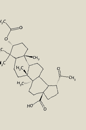 CC(=O)O[C@@H]1CC[C@@]2(C)C(CC[C@]3(C)C2CCC2C4[C@H](C(C)=O)CC[C@]4(C(=O)O)CC[C@]23C)C1(C)C